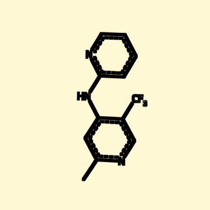 Cc1cc(Nc2ccccn2)c(C(F)(F)F)cn1